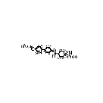 CCCCCCCCCOc1ccc(-c2ccc(OC(=O)[C@H]3CC[C@@](C#N)(CCCCCCCCC)CC3)cc2)nc1